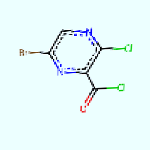 O=C(Cl)c1nc(Br)cnc1Cl